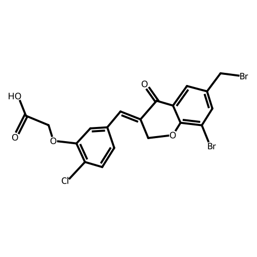 O=C(O)COc1cc(/C=C2\COc3c(Br)cc(CBr)cc3C2=O)ccc1Cl